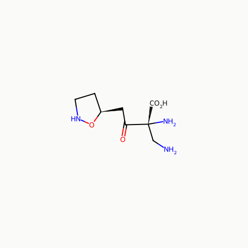 NC[C@](N)(C(=O)O)C(=O)C[C@@H]1CCNO1